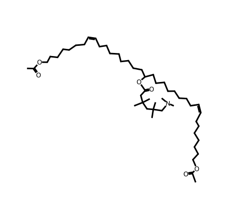 CC(=O)OCCCCCCC/C=C\CCCCCCCCC(CCCCCCCC/C=C\CCCCCCCOC(C)=O)OC(=O)CC(C)(C)CC(C)(C)CN(C)C